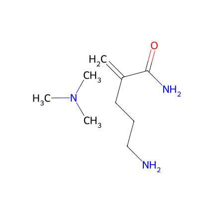 C=C(CCCN)C(N)=O.CN(C)C